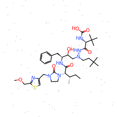 CC[C@H](C)[C@@H](C(=O)N[C@@H](Cc1ccccc1)[C@@H](O)CN(CCC(C)(C)C)NC(=O)[C@@H](NC(=O)O)C(C)(C)C)N1CCN(Cc2csc(COC)n2)C1=O